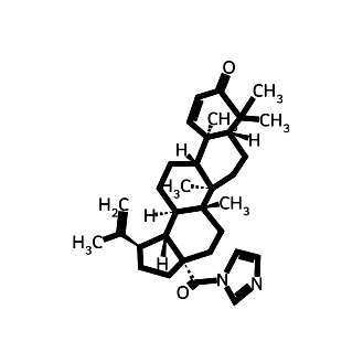 C=C(C)[C@@H]1CC[C@]2(C(=O)n3ccnc3)CC[C@]3(C)[C@H](CC[C@@H]4[C@@]5(C)C=CC(=O)C(C)(C)[C@@H]5CC[C@]43C)[C@@H]12